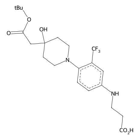 CC(C)(C)OC(=O)CC1(O)CCN(c2ccc(NCCC(=O)O)cc2C(F)(F)F)CC1